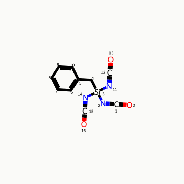 O=C=N[Si](Cc1ccccc1)(N=C=O)N=C=O